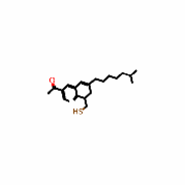 C=C1/C(=C\C(=C/C)C(C)=O)C=C(CCCCCC(C)C)CC1CS